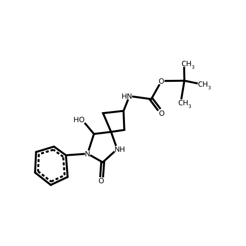 CC(C)(C)OC(=O)NC1CC2(C1)NC(=O)N(c1ccccc1)C2O